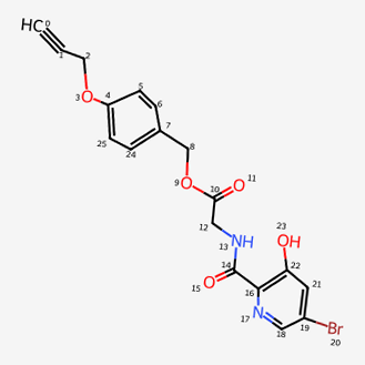 C#CCOc1ccc(COC(=O)CNC(=O)c2ncc(Br)cc2O)cc1